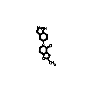 Cc1cc2c(=O)n(-c3ccc4[nH]ncc4c3)ccc2o1